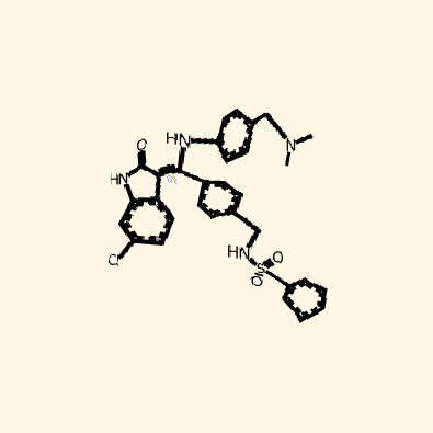 CN(C)Cc1ccc(N/C(=C2\C(=O)Nc3cc(Cl)ccc32)c2ccc(CNS(=O)(=O)c3ccccc3)cc2)cc1